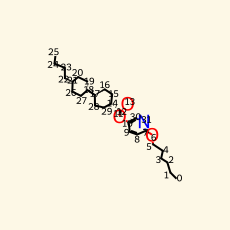 CCCCCCOc1ccc(OC(=O)[C@H]2CC[C@H]([C@H]3CC[C@H](CCCC)CC3)CC2)cn1